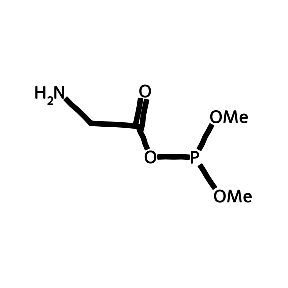 COP(OC)OC(=O)CN